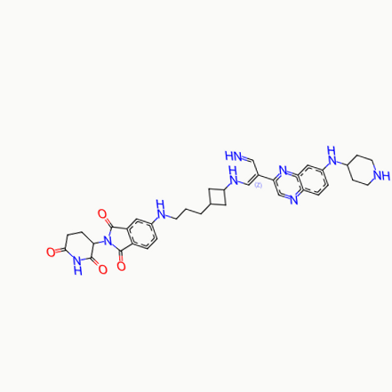 N=C/C(=C\NC1CC(CCCNc2ccc3c(c2)C(=O)N(C2CCC(=O)NC2=O)C3=O)C1)c1cnc2ccc(NC3CCNCC3)cc2n1